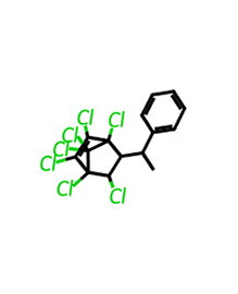 CC(c1ccccc1)C1C(Cl)C2(Cl)C(Cl)=C(Cl)C1(Cl)C2(Cl)Cl